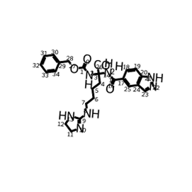 O=C(NC(CCCCNC1=NCCN1)(NC(=O)c1ccc2[nH]ncc2c1)C(=O)O)OCc1ccccc1